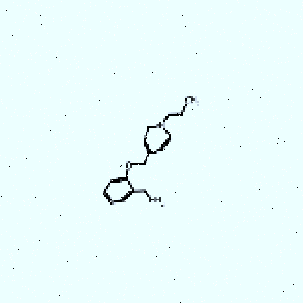 CCCN1C=CC(COc2ccccc2CN)=CC1